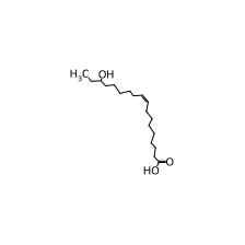 CC[C@@H](O)CCCCC/C=C\CCCCCCCC(=O)O